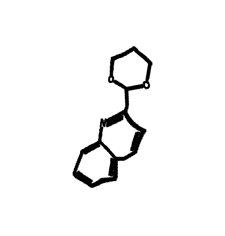 c1ccc2nc(C3OCCCO3)ccc2c1